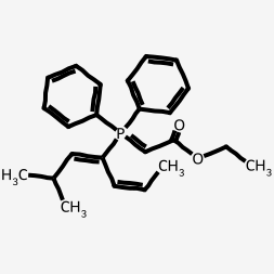 C/C=C\C(=C/C(C)C)P(=CC(=O)OCC)(c1ccccc1)c1ccccc1